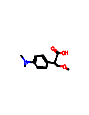 COCC(C(=O)O)c1ccc(N(C)C)cc1